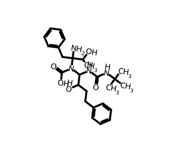 CC(O)C(N)(Cc1ccccc1)N(C(=O)O)C(NC(=O)NC(C)(C)C)C(O)CCc1ccccc1